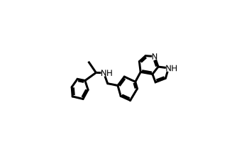 CC(NCc1cccc(-c2ccnc3[nH]ccc23)c1)c1ccccc1